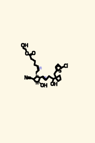 N#CC1C[C@@H](O)C(/C=C/CC(O)C2(Cc3ccc(Cl)s3)CCC2)[C@H]1C/C=C\CCCC(=O)OCCO